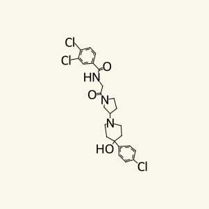 O=C(NCC(=O)N1CCC(N2CCC(O)(c3ccc(Cl)cc3)CC2)C1)c1ccc(Cl)c(Cl)c1